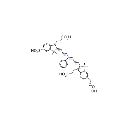 CC1(C)C(/C=C/C=C(/C=C/C=C2/N(CCC(=O)O)c3ccc(S(=O)(=O)O)cc3C2(C)C)c2ccccc2)=[N+](CCC(=O)O)c2ccc(SOOO)cc21